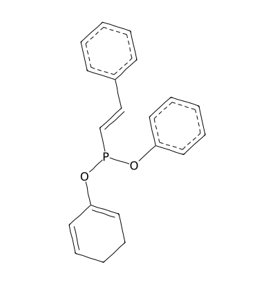 C1=CC(OP(/C=C/c2ccccc2)Oc2ccccc2)=CCC1